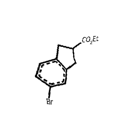 CCOC(=O)C1Cc2ccc(Br)cc2C1